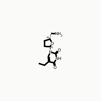 CCc1cn([C@@H]2CC[C@H](CN)O2)c(=O)[nH]c1=O